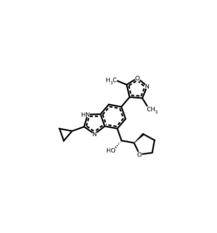 Cc1noc(C)c1-c1cc([C@@H](O)[C@H]2CCCO2)c2nc(C3CC3)[nH]c2c1